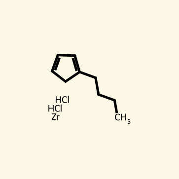 CCCCC1=CC=CC1.Cl.Cl.[Zr]